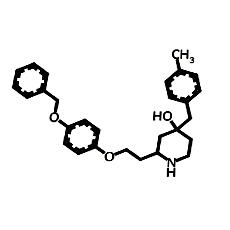 Cc1ccc(CC2(O)CCNC(CCOc3ccc(OCc4ccccc4)cc3)C2)cc1